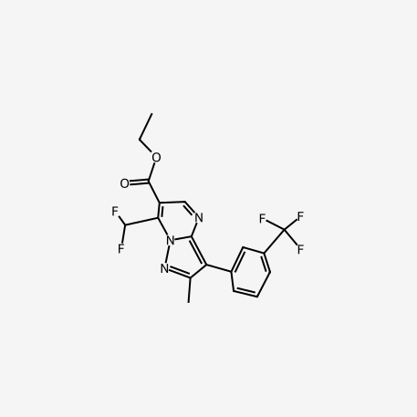 CCOC(=O)c1cnc2c(-c3cccc(C(F)(F)F)c3)c(C)nn2c1C(F)F